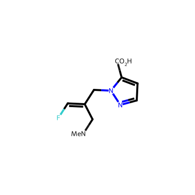 CNC/C(=C\F)Cn1nccc1C(=O)O